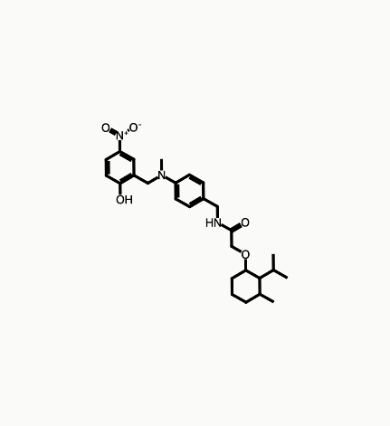 CC(C)C1C(C)CCCC1OCC(=O)NCc1ccc(N(C)Cc2cc([N+](=O)[O-])ccc2O)cc1